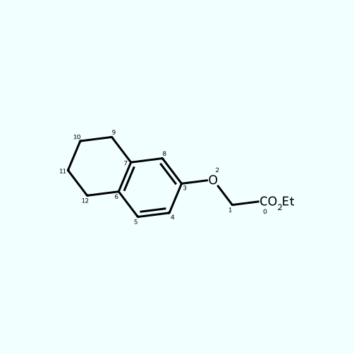 CCOC(=O)COc1ccc2c(c1)CCCC2